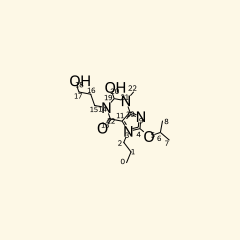 CCCn1c(OC(C)C)nc2c1C(=O)N(CCCO)C(O)N2C